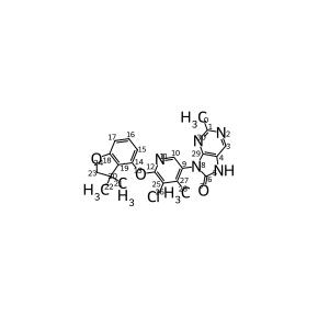 Cc1ncc2[nH]c(=O)n(-c3cnc(Oc4cccc5c4C(C)(C)CO5)c(Cl)c3C)c2n1